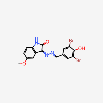 COc1ccc2c(c1)/C(=N/N=Cc1cc(Br)c(O)c(Br)c1)C(=O)N2